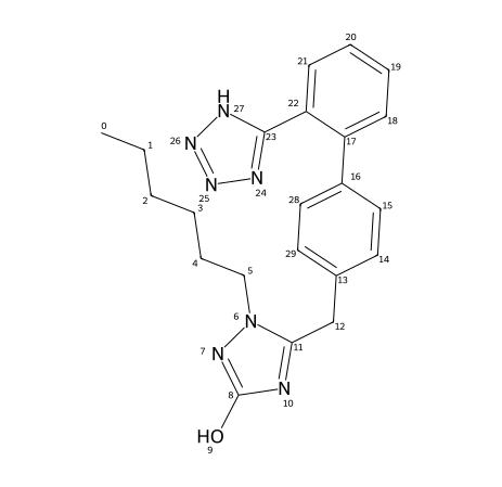 CCCCCCn1nc(O)nc1Cc1ccc(-c2ccccc2-c2nnn[nH]2)cc1